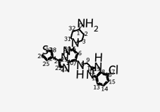 NC1CCN(c2cc(NCc3nc4cccc(Cl)c4[nH]3)c3ncc(-c4ccsc4)n3n2)CC1